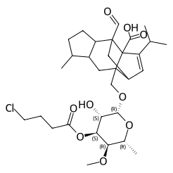 CO[C@H]1[C@@H](OC(=O)CCCCl)[C@H](O)[C@H](OCC23CC4C(C)CCC4C4(C=O)CC2C=C(C(C)C)C43C(=O)O)O[C@@H]1C